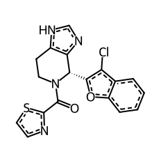 O=C(c1nccs1)N1CCc2[nH]cnc2[C@@H]1c1oc2ccccc2c1Cl